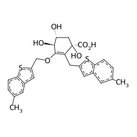 Cc1ccc2sc(COC3=C(Cc4cc5cc(C)ccc5s4)[C@@](O)(C(=O)O)C[C@@H](O)[C@@H]3O)cc2c1